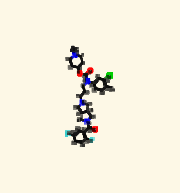 CC(=O)N1CCC(OC(=O)N(CCCN2CC3CN(C(=O)c4cc(F)ccc4F)CC3C2)c2ccc(C)c(Cl)c2)CC1